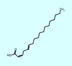 CCCCCCCCCCCCC=CC/C=C\C(=O)O